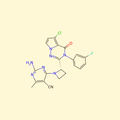 Cc1nc(N)nc(N2CC[C@H]2c2nn3ccc(Cl)c3c(=O)n2-c2cccc(F)c2)c1C#N